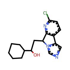 OC(CC1c2nc(Cl)ccc2-c2cncn21)C1CCCCC1